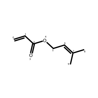 C=CC(=O)OCC=C(C)C